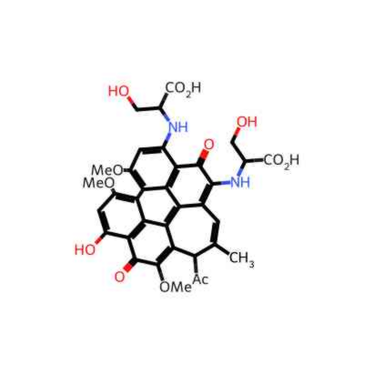 COc1c2c3c4c(c(NC(CO)C(=O)O)c(=O)c5c(NC(CO)C(=O)O)cc(OC)c(c6c(OC)cc(O)c(c1=O)c63)c54)C=C(C)C2C(C)=O